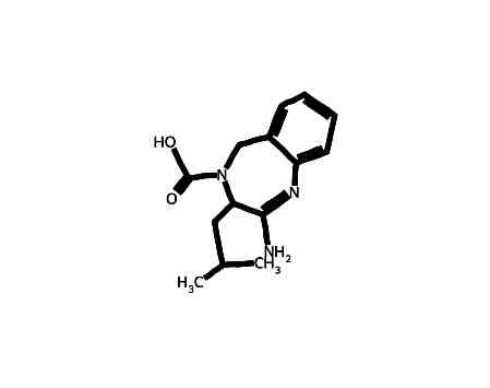 CC(C)CC1C(N)=Nc2ccccc2CN1C(=O)O